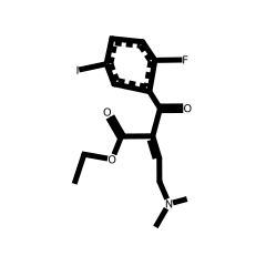 CCOC(=O)C(=CCN(C)C)C(=O)c1cc(I)ccc1F